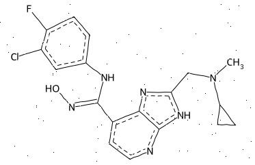 CN(Cc1nc2c(/C(=N/O)Nc3ccc(F)c(Cl)c3)ccnc2[nH]1)C1CC1